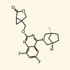 C[C@@]12CC[C@H](CN(c3nc(OCC45COC(=O)C4C5)nc4c(F)cc(F)cc34)C1)C2